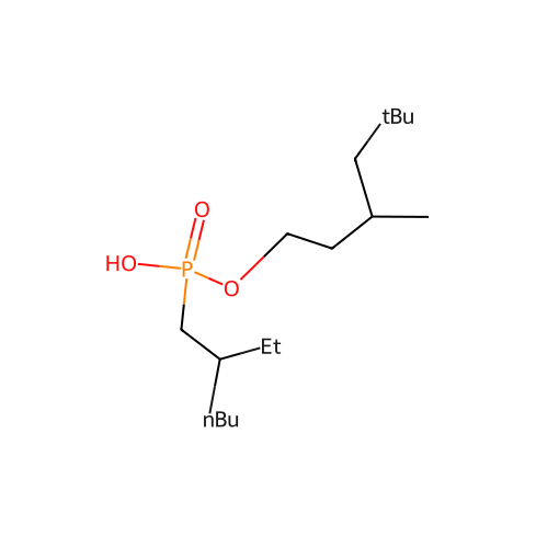 CCCCC(CC)CP(=O)(O)OCCC(C)CC(C)(C)C